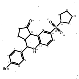 O=C1CCC2C(c3ccc(Br)cc3)Nc3ccc(S(=O)(=O)N4CCCC4)cc3C12